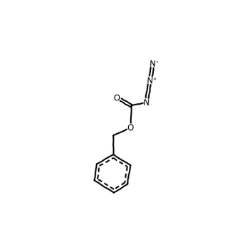 [N-]=[N+]=NC(=O)OCc1ccccc1